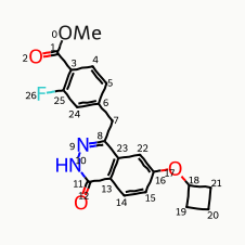 COC(=O)c1ccc(Cc2n[nH]c(=O)c3ccc(OC4CCC4)cc23)cc1F